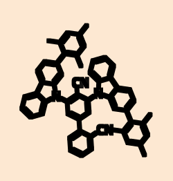 Cc1cc(C)c(-c2ccc3c4ccccc4n(-c4cc(-c5ccccc5C#N)cc(-n5c6ccccc6c6ccc(-c7c(C)cc(C)cc7C)cc65)c4C#N)c3c2)c(C)c1